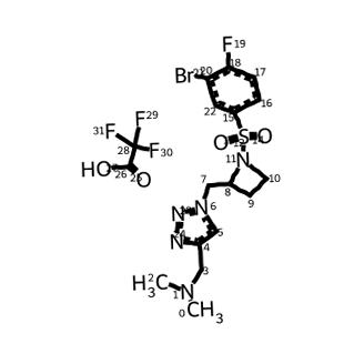 CN(C)Cc1cn(CC2CCN2S(=O)(=O)c2ccc(F)c(Br)c2)nn1.O=C(O)C(F)(F)F